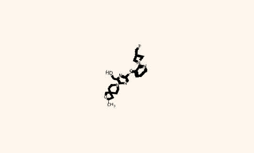 C[C@H]1CC2(CCN(c3ncc(Sc4cccnc4N4CC(CF)C4)nc3CO)CC2)CO1